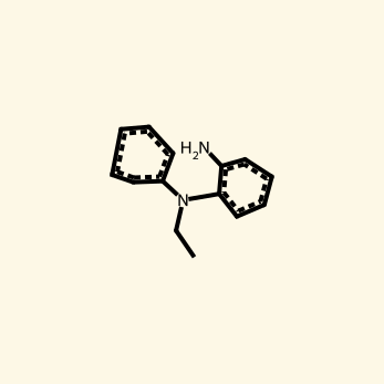 CCN(c1ccccc1)c1ccccc1N